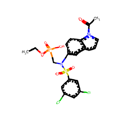 CCOP(=O)(O)CN(c1ccc2c(ccn2C(C)=O)c1)S(=O)(=O)c1cc(Cl)cc(Cl)c1